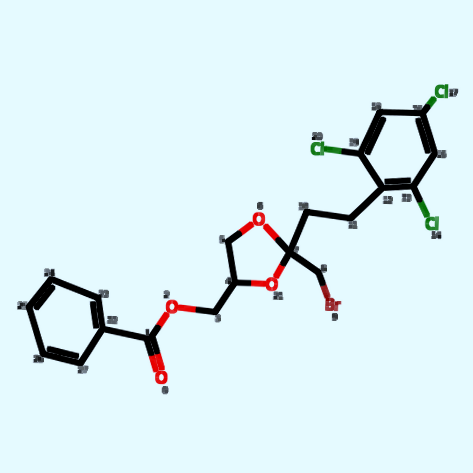 O=C(OCC1COC(CBr)(CCc2c(Cl)cc(Cl)cc2Cl)O1)c1ccccc1